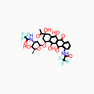 CC(=O)[C@]1(O)Cc2c(O)c3c(c(O)c2[C@@H](OC2C[C@H](NC(=O)C(F)(F)F)[C@H](O)[C@H](C)O2)C1)C(=O)c1c(NC(=O)C(F)(F)F)cccc1C3=O